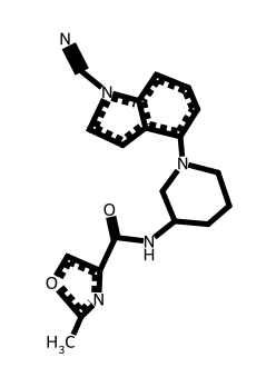 Cc1nc(C(=O)NC2CCCN(c3cccc4c3ccn4C#N)C2)co1